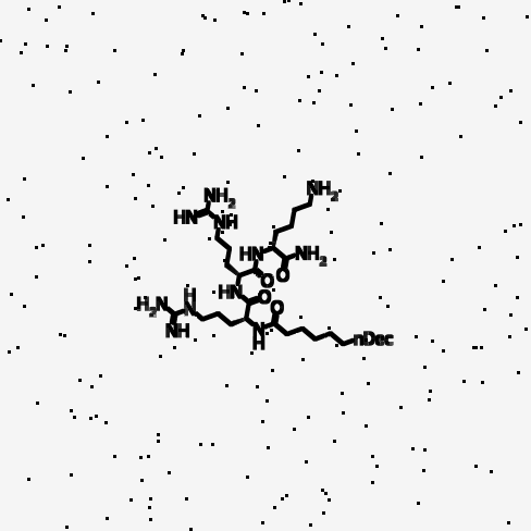 CCCCCCCCCCCCCCCC(=O)N[C@@H](CCCNC(=N)N)C(=O)N[C@@H](CCCNC(=N)N)C(=O)N[C@@H](CCCCN)C(N)=O